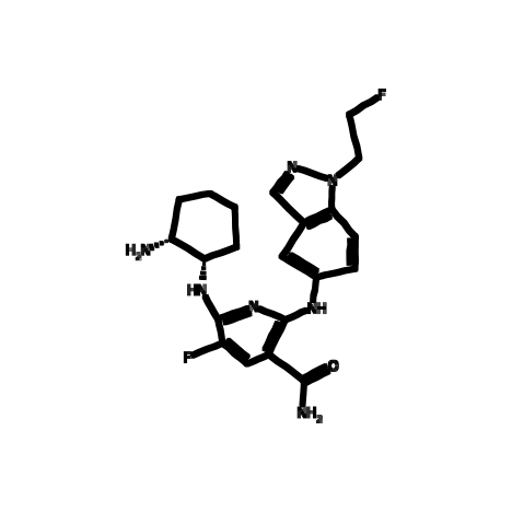 NC(=O)c1cc(F)c(N[C@H]2CCCC[C@H]2N)nc1Nc1ccc2c(cnn2CCF)c1